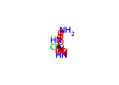 NCCOCCOCCNC(=O)CCCc1cc2ncn(CC(=O)CC3NCCCC3O)c(=O)c2cc1Cl